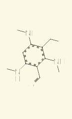 CNc1cc(NC)c(CCl)c(NC)c1C=O